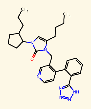 CCCCc1cn(C2CCCC2CCC)c(=O)n1Cc1cnccc1-c1ccccc1-c1nnn[nH]1